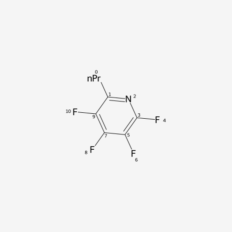 CCCc1nc(F)c(F)c(F)c1F